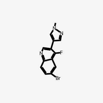 Cn1cc(-c2cnc3ccc(Br)cc3c2F)cn1